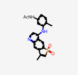 CC(=O)Nc1ccc(C)c(Nc2ccnc3cc4c(cc23)S(=O)(=O)C=C4C)c1